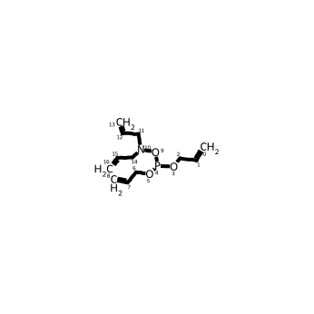 C=CCOP(OCC=C)ON(CC=C)CC=C